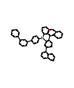 c1ccc(-c2cccc(-c3ccc(N(c4ccccc4)c4cc(-c5cccc6ccccc56)ccc4-c4cccc5ccccc45)cc3)c2)cc1